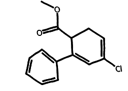 COC(=O)C1CC=C(Cl)C=C1c1ccccc1